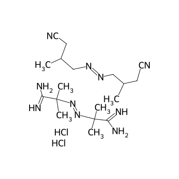 CC(C)(N=NC(C)(C)C(=N)N)C(=N)N.CC(CC#N)CN=NCC(C)CC#N.Cl.Cl